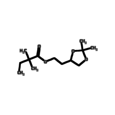 CCC(C)(C)C(=O)OCCC1COC(C)(C)O1